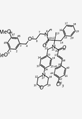 COc1cc(COCCN(C)C(=O)C(I)(Cc2ccccc2)N(Cc2ccc(N3CCOCC3)cc2)C(=O)C=Cc2ccc(C(F)(F)F)cc2)cc(OC)c1